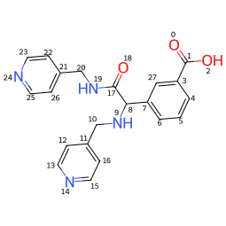 O=C(O)c1cccc(C(NCc2ccncc2)C(=O)NCc2ccncc2)c1